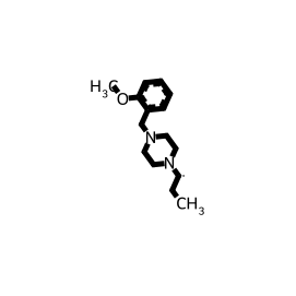 CC[CH]N1CCN(Cc2ccccc2OC)CC1